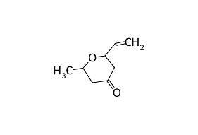 C=CC1CC(=O)CC(C)O1